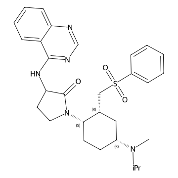 CC(C)N(C)[C@@H]1CC[C@H](N2CCC(Nc3ncnc4ccccc34)C2=O)[C@H](CS(=O)(=O)c2ccccc2)C1